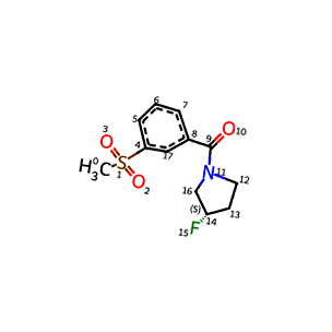 CS(=O)(=O)c1cccc(C(=O)N2CC[C@H](F)C2)c1